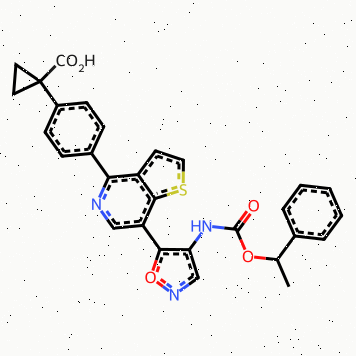 CC(OC(=O)Nc1cnoc1-c1cnc(-c2ccc(C3(C(=O)O)CC3)cc2)c2ccsc12)c1ccccc1